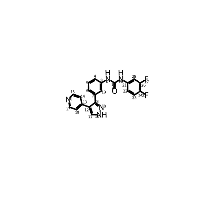 O=C(Nc1cccc(-c2n[nH]cc2-c2ccncc2)c1)Nc1ccc(F)c(F)c1